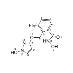 CCc1cccc(C(=O)NO)c1COc1ccn(O)n1